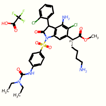 CCN(CC)C(=O)Nc1ccc(S(=O)(=O)N2C(=O)C(c3ccccc3Cl)c3c2cc([C@@H](CCCCN)C(=O)OC)c(Cl)c3N)cc1.O=C(O)C(F)(F)F